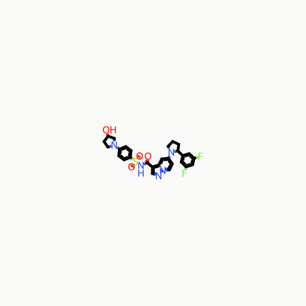 O=C(NS(=O)(=O)c1ccc(N2CCC(O)C2)cc1)c1cnn2ccc(N3CCCC3c3cc(F)cc(F)c3)cc12